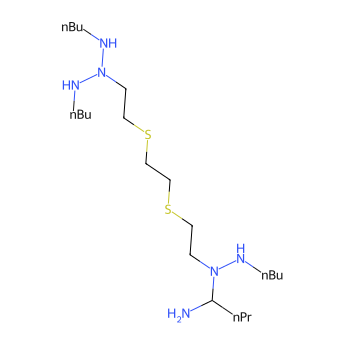 CCCCNN(CCSCCSCCN(NCCCC)C(N)CCC)NCCCC